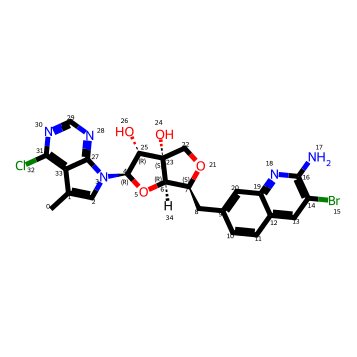 Cc1cn([C@@H]2O[C@@H]3[C@H](Cc4ccc5cc(Br)c(N)nc5c4)OC[C@]3(O)[C@H]2O)c2ncnc(Cl)c12